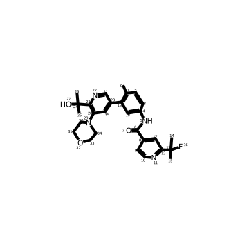 Cc1ccc(NC(=O)c2ccnc(C(C)(C)F)c2)cc1-c1cnc(C(C)(C)O)c(N2CCOCC2)c1